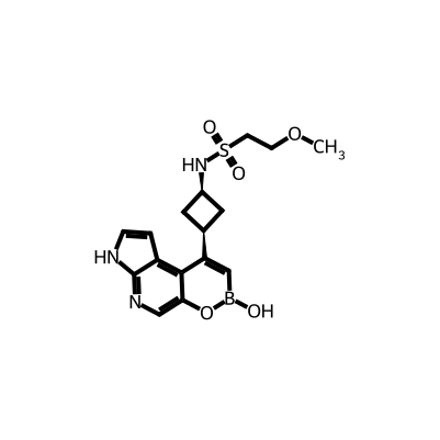 COCCS(=O)(=O)N[C@H]1C[C@@H](C2=CB(O)Oc3cnc4[nH]ccc4c32)C1